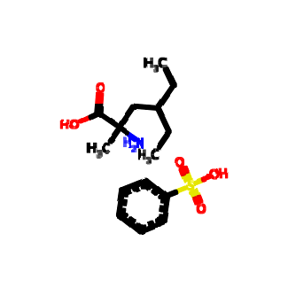 CCC(CC)CC(C)(N)C(=O)O.O=S(=O)(O)c1ccccc1